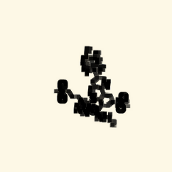 CS(=O)(=O)CCCn1nnnc1Sc1c(C(N)=O)cc([N+](=O)[O-])cc1-c1ncc(C(F)(F)C(F)(F)C(F)(F)F)cc1F